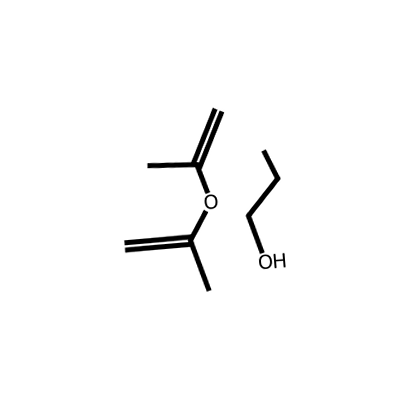 C=C(C)OC(=C)C.CCCO